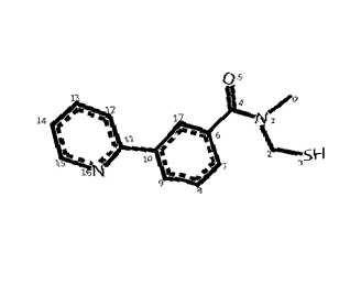 CN(CS)C(=O)c1cccc(-c2ccccn2)c1